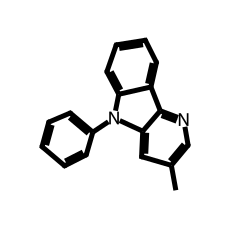 Cc1cnc2c3ccccc3n(-c3ccccc3)c2c1